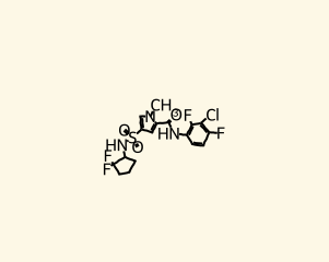 Cn1cc(S(=O)(=O)NC2CCCC2(F)F)cc1C(=O)Nc1ccc(F)c(Cl)c1F